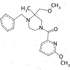 COCC1(C)CN(C(=O)c2cccc(OC)n2)CCN1Cc1ccccc1